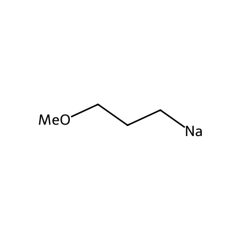 COCC[CH2][Na]